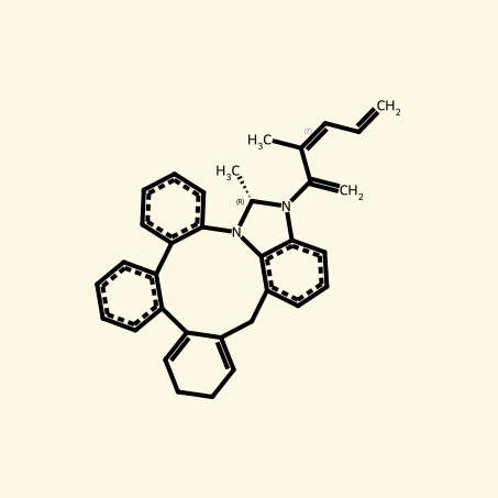 C=C/C=C(/C)C(=C)N1c2cccc3c2N(c2ccccc2-c2ccccc2C2=CCCC=C2C3)[C@@H]1C